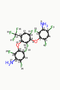 Nc1c(F)cc(F)c(Oc2c(F)cc(C(F)(F)F)c(Oc3c(F)cc(F)c(N)c3F)c2F)c1F